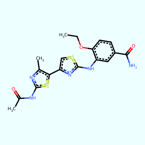 CCOc1ccc(C(N)=O)cc1Nc1nc(-c2sc(NC(C)=O)nc2C)cs1